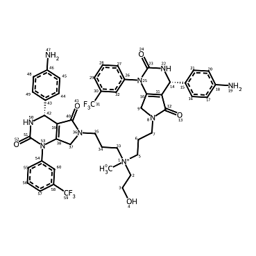 C[N+](CCO)(CCCN1CC2=C(C1=O)[C@@H](c1ccc(N)cc1)NC(=O)N2c1cccc(C(F)(F)F)c1)CCCN1CC2=C(C1=O)[C@@H](c1ccc(N)cc1)NC(=O)N2c1cccc(C(F)(F)F)c1